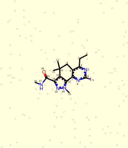 CCc1nc(I)nc2c1CC(C)(C)c1c(C(=O)NC)nn(C)c1-2